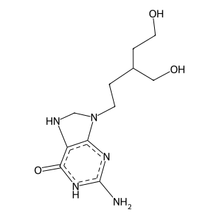 Nc1nc2c(c(=O)[nH]1)NCN2CCC(CO)CCO